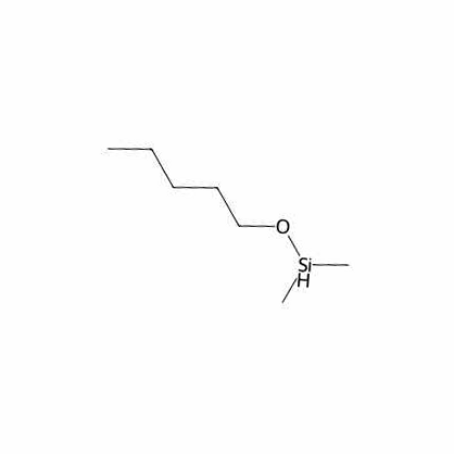 CCCCCO[SiH](C)C